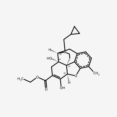 CCOC(=O)C1=C(O)[C@@H]2Oc3c(C)ccc4c3[C@@]23CCN(CC2CC2)[C@H](C4)[C@]3(O)C1